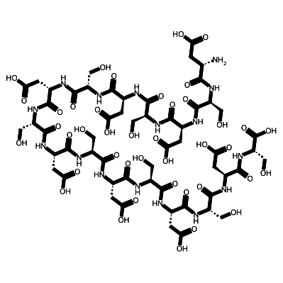 N[C@@H](CC(=O)O)C(=O)N[C@@H](CO)C(=O)N[C@@H](CC(=O)O)C(=O)N[C@@H](CO)C(=O)N[C@@H](CC(=O)O)C(=O)N[C@@H](CO)C(=O)N[C@@H](CC(=O)O)C(=O)N[C@@H](CO)C(=O)N[C@@H](CC(=O)O)C(=O)N[C@@H](CO)C(=O)N[C@@H](CC(=O)O)C(=O)N[C@@H](CO)C(=O)N[C@@H](CC(=O)O)C(=O)N[C@@H](CO)C(=O)N[C@@H](CC(=O)O)C(=O)N[C@@H](CO)C(=O)O